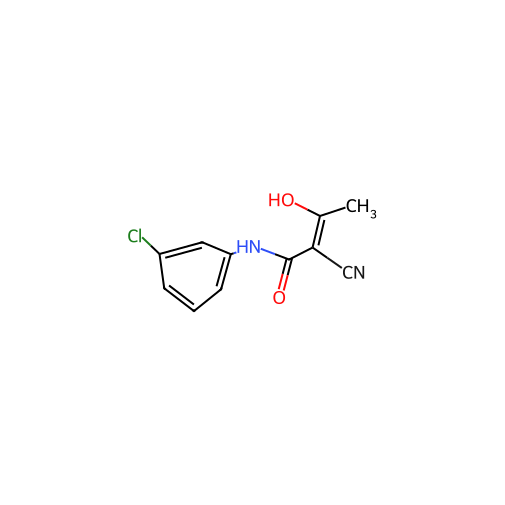 CC(O)=C(C#N)C(=O)Nc1cccc(Cl)c1